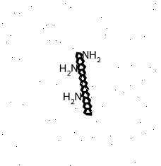 Nc1cccc2cc3c(N)c4cc5cc6cc7cc8c(N)c9cc%10cc%11ccccc%11cc%10cc9cc8cc7cc6cc5cc4cc3cc12